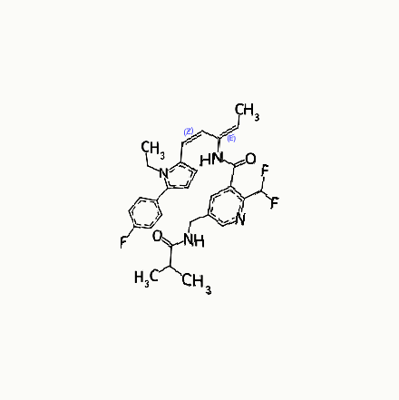 C/C=C(\C=C/c1ccc(-c2ccc(F)cc2)n1CC)NC(=O)c1cc(CNC(=O)C(C)C)cnc1C(F)F